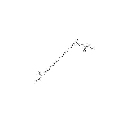 CCOC(=O)CCCCCCCCCCCCCCC(C)CCC(=O)OCC